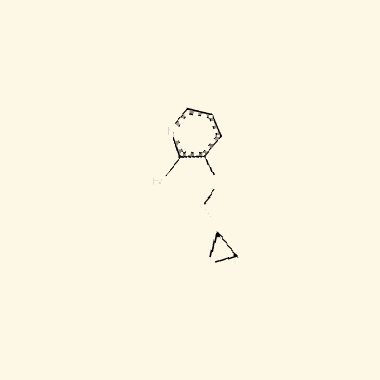 Brc1ncccc1OC[C@@H]1CO1